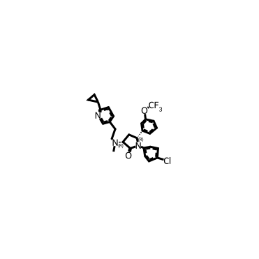 CN(CCc1ccc(C2CC2)nc1)[C@@H]1C[C@H](c2cccc(OC(F)(F)F)c2)N(c2ccc(Cl)cc2)C1=O